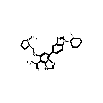 CN1CCC[C@@H]1COc1cc(-c2ccc3c(c2)ncn3[C@@H]2CCCC[C@H]2F)c2nc[nH]c2c1C(N)=O